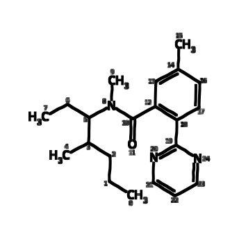 CCCC(C)C(CC)N(C)C(=O)c1cc(C)ccc1-c1ncccn1